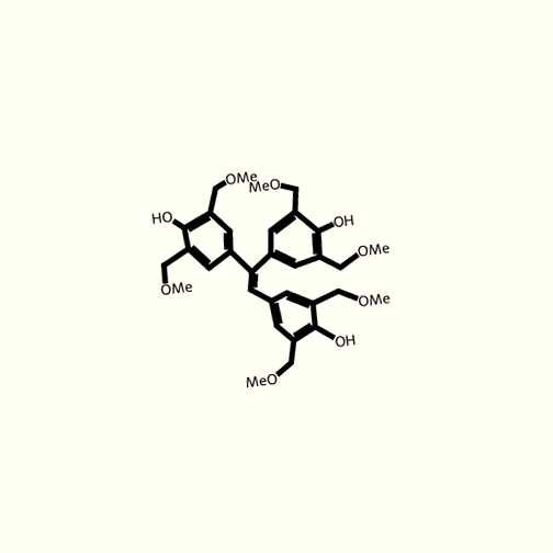 COCc1cc(C=C(c2cc(COC)c(O)c(COC)c2)c2cc(COC)c(O)c(COC)c2)cc(COC)c1O